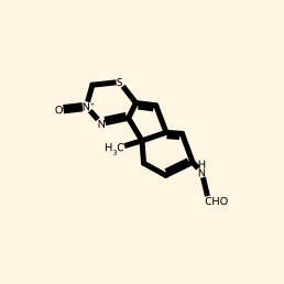 CC12CC=C(NC=O)C=C1C=C1SC[N+](=O)N=C12